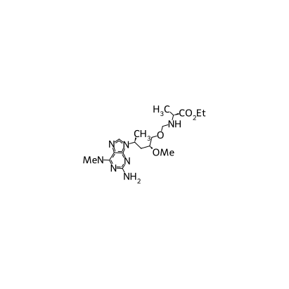 CCOC(=O)[C@H](C)NCOC[C@H](C[C@H](C)n1cnc2c(NC)nc(N)nc21)OC